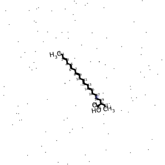 CCC=CCC=CCC=CCC=CCC=CC/C=C/CC(CC)C(=O)O